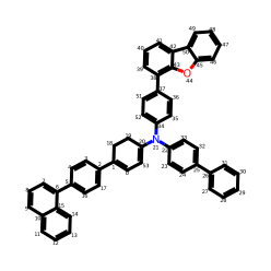 C1=C(c2ccc(-c3cccc4ccccc34)cc2)CCC(N(c2ccc(-c3ccccc3)cc2)c2ccc(-c3cccc4c3oc3ccccc34)cc2)=C1